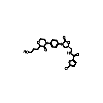 O=C(NC[C@H]1CN(c2ccc(N3CCOC(CCCO)C3=O)cc2)C(=O)O1)c1ccc(Cl)s1